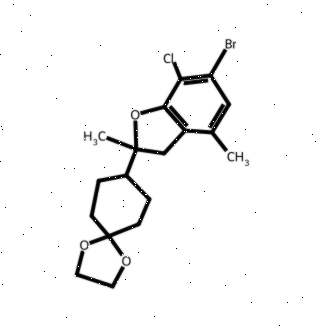 Cc1cc(Br)c(Cl)c2c1CC(C)(C1CCC3(CC1)OCCO3)O2